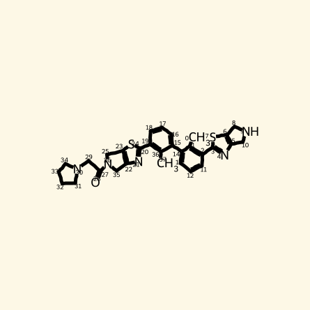 Cc1c(-c2nc3c(s2)CNC3)cccc1-c1cccc(-c2nc3c(s2)CN(C(=O)CN2CCCC2)C3)c1C